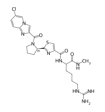 CNC(=O)C(CCCCNC(=N)N)NC(=O)c1csc([C@H]2CCCN2C(=O)c2cn3cc(Cl)ccc3n2)n1